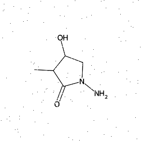 CC1C(=O)N(N)CC1O